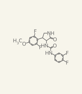 COc1cc(F)c(C2CNC(=O)C2NC(=O)Nc2ccc(F)c(F)c2)c(F)c1